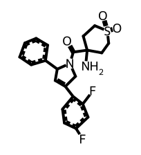 NC1(C(=O)N2CC(c3ccc(F)cc3F)=CC2c2ccccc2)CCS(=O)(=O)CC1